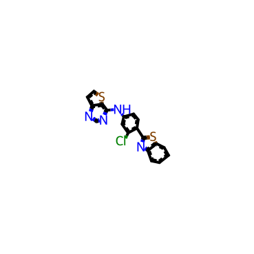 Clc1cc(Nc2ncnc3ccsc23)ccc1-c1nc2ccccc2s1